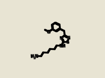 COc1cccc(Cc2nsc(NCCCCCCN)n2)c1